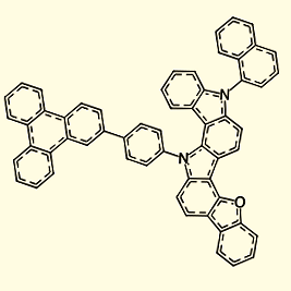 c1ccc2c(-n3c4ccccc4c4c3ccc3c5c6oc7ccccc7c6ccc5n(-c5ccc(-c6ccc7c8ccccc8c8ccccc8c7c6)cc5)c34)cccc2c1